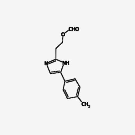 Cc1ccc(-c2cnc(CCOC=O)[nH]2)cc1